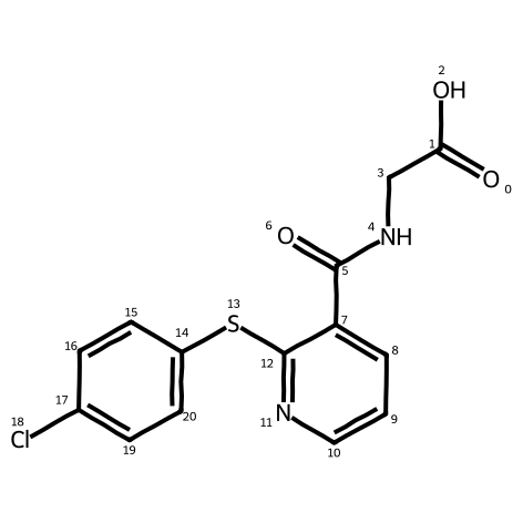 O=C(O)CNC(=O)c1cccnc1Sc1ccc(Cl)cc1